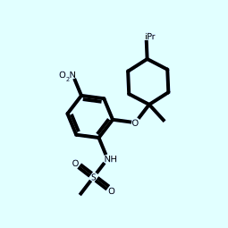 CC(C)C1CCC(C)(Oc2cc([N+](=O)[O-])ccc2NS(C)(=O)=O)CC1